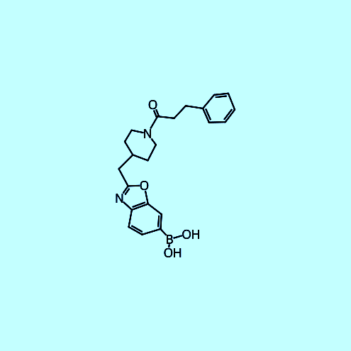 O=C(CCc1ccccc1)N1CCC(Cc2nc3ccc(B(O)O)cc3o2)CC1